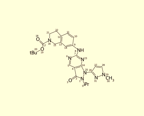 CC(C)n1c(=O)c2cnc(Nc3ccc4c(c3)CN(C(=O)OC(C)(C)C)CC4)nc2n1-c1ccn(C)n1